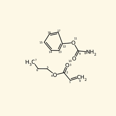 C=CC(=O)OCCC.NC(=O)Oc1ccccc1